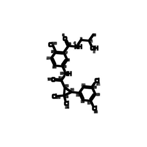 CC(O)CNC(=O)c1cc(NC(=O)C2C(c3cc(Cl)cc(Cl)c3)C2(Cl)Cl)ccc1Cl